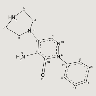 Nc1c(N2CCNCC2)cnn(-c2ccccc2)c1=O